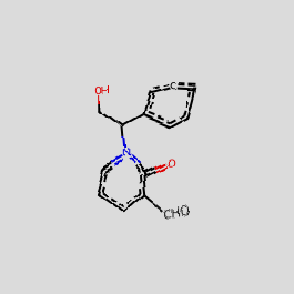 O=Cc1cccn(C(CO)c2ccccc2)c1=O